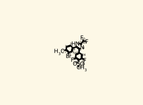 Cc1ccc(-c2[nH]c(C(F)F)nc2-c2cc(F)c(S(C)(=O)=O)c(F)c2)cc1Br